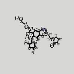 O=C(NOCCO)c1cc(/C=N\OCCN2CCCC2=O)c(F)c(F)c1Nc1ccc(I)cc1F